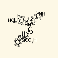 Cl.Cl.O=C(CCNC(=O)C(CCC1CCNCC1)CCC1CCNCC1)NCC(NS(=O)(=O)c1ccccc1)C(=O)O